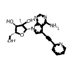 C[C@@]1(O)[C@H](O)[C@@H](CO)O[C@H]1n1cc(C#Cc2ccccn2)c2c(N)ncnc21